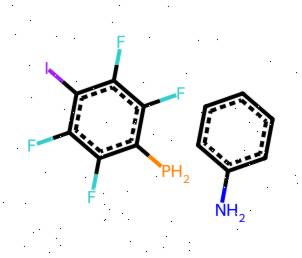 Fc1c(F)c(I)c(F)c(F)c1P.Nc1ccccc1